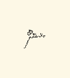 CCCCCCCC/C=C\CCCCCCCC(=O)OCC.Nc1ccnc2ccccc12